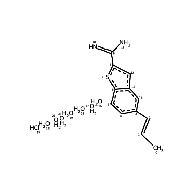 C/C=C/c1ccc2sc(C(=N)N)cc2c1.Cl.O.O.O.O.O.O.O